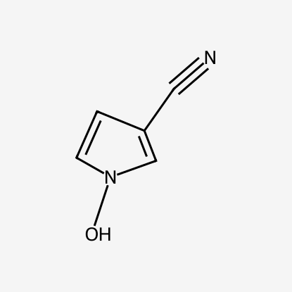 N#Cc1ccn(O)c1